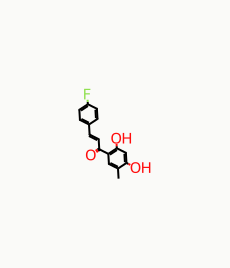 Cc1cc(C(=O)/C=C/c2ccc(F)cc2)c(O)cc1O